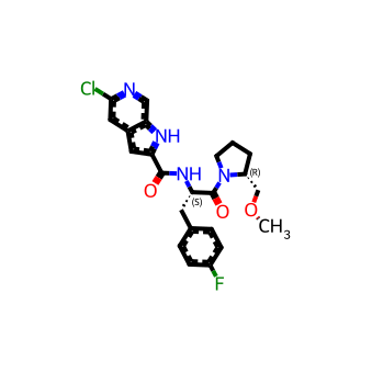 COC[C@H]1CCCN1C(=O)[C@H](Cc1ccc(F)cc1)NC(=O)c1cc2cc(Cl)ncc2[nH]1